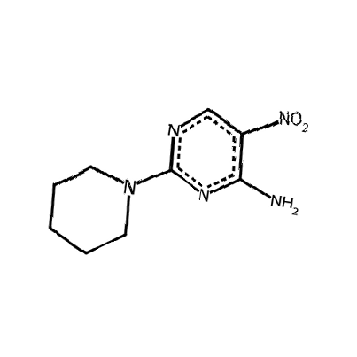 Nc1nc(N2CCCCC2)ncc1[N+](=O)[O-]